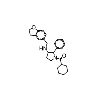 O=C(C1CCCCC1)N1CCC(NCc2ccc3c(c2)CCO3)C1c1ccccc1